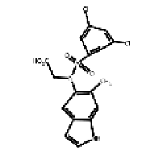 Cc1cc2[nH]ccc2cc1N(CC(=O)O)S(=O)(=O)c1cc(Cl)cc(Cl)c1